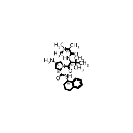 C[C@@H](C(=O)N[C@H](C(=O)N1C[C@@H](N)C[C@H]1C(=O)N[C@@H]1CCCc2ccccc21)C(C)(C)C)N(C)C